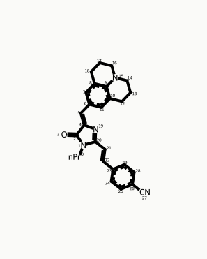 CCCN1C(=O)/C(=C/c2cc3c4c(c2)CCCN4CCC3)N=C1/C=C/c1ccc(C#N)cc1